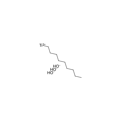 CCCCCCCC[CH2][Ti+3].[OH-].[OH-].[OH-]